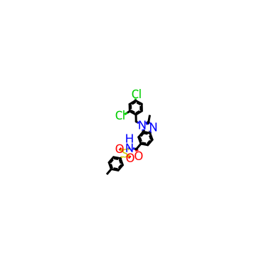 Cc1ccc(S(=O)(=O)NC(=O)c2ccc3nc(C)n(Cc4ccc(Cl)cc4Cl)c3c2)cc1